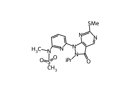 CSc1ncc2c(=O)n(C(C)C)n(-c3cccc(N(C)S(C)(=O)=O)n3)c2n1